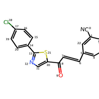 N#Cc1cccc(C=CC(=O)c2[c]nc(-c3ccc(Cl)cc3)s2)c1